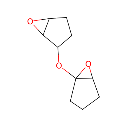 C1CC2OC2(OC2CCC3OC32)C1